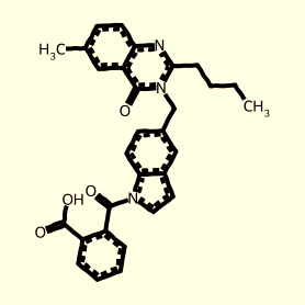 CCCCc1nc2ccc(C)cc2c(=O)n1Cc1ccc2c(ccn2C(=O)c2ccccc2C(=O)O)c1